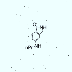 CCCNc1ccc2c(c1)CNC2=O